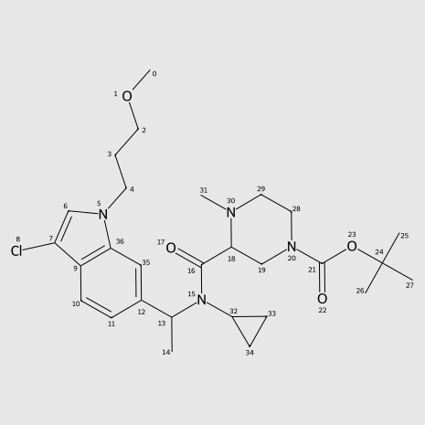 COCCCn1cc(Cl)c2ccc(C(C)N(C(=O)C3CN(C(=O)OC(C)(C)C)CCN3C)C3CC3)cc21